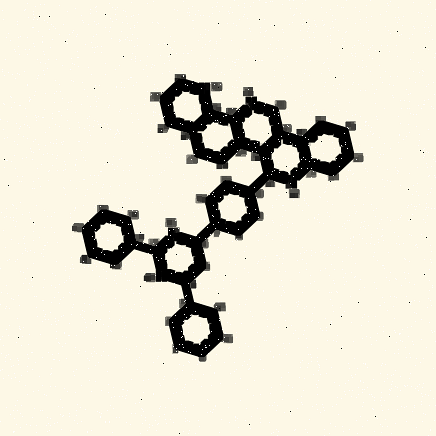 c1ccc(-c2cc(-c3ccc(-c4nc5ccccc5c5cnc6c(ccc7cccnc76)c45)cc3)nc(-c3ccccc3)n2)cc1